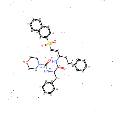 O=C(NC(C=CS(=O)(=O)c1ccc2ccccc2c1)CCc1ccccc1)C(Cc1ccccc1)NC(=O)N1CCOCC1